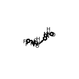 Cc1c(C(=O)NCC#Cc2ccc3nc(NC4CCOCC4)ncc3c2)c(=O)n(Cc2ccc(F)c(F)c2)n1C